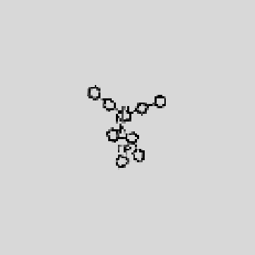 O=P1(c2ccccc2)c2ccccc2-c2ccc3c(c21)c1ccccc1n3-c1cc(-c2ccc(-c3ccccc3)cc2)nc(-c2ccc(-c3ccccc3)cc2)n1